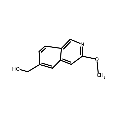 COc1cc2cc(CO)ccc2cn1